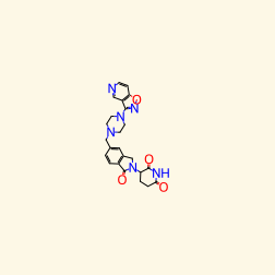 O=C1CCC(N2Cc3cc(CN4CCN(c5noc6ccncc56)CC4)ccc3C2=O)C(=O)N1